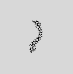 [2H]c1ccc2ncn(-c3cnc(N4CCC(CN5CC6(CCN(c7ccc8c(c7)CN(C7CCC(=O)NC7=O)C8=O)CC6)C5)CC4)nc3)c(=O)c2c1